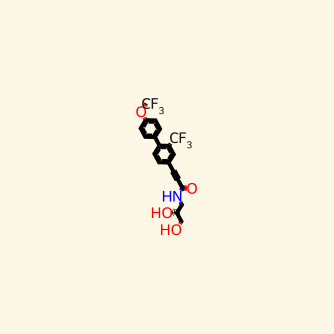 O=C(C#Cc1ccc(-c2ccc(OC(F)(F)F)cc2)c(C(F)(F)F)c1)NC[C@@H](O)CO